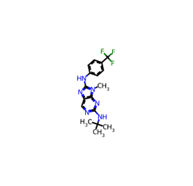 Cn1c(Nc2ccc(C(F)(F)F)cc2)nc2cnc(NC(C)(C)C)nc21